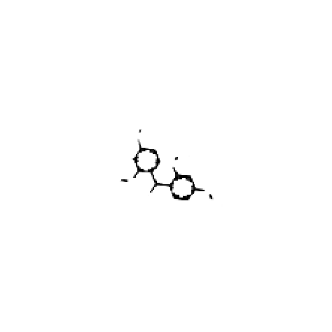 COc1ccc(C(Br)c2ccc(OC)cc2OC)c(OC)c1